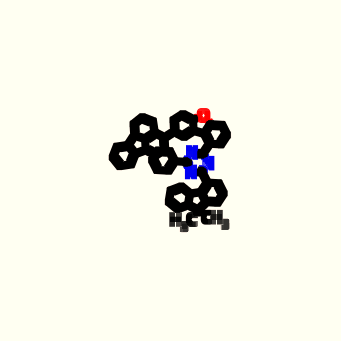 CC1(C)c2cccc(-c3nc(-c4ccccc4)nc(-c4cccc5oc6ccc(-c7ccc8c9c(cccc79)-c7ccccc7-8)cc6c45)n3)c2C2C=CC=CC21